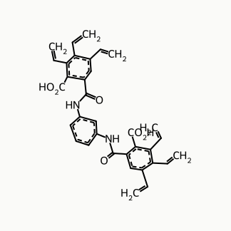 C=Cc1cc(C(=O)Nc2cccc(NC(=O)c3cc(C=C)c(C=C)c(C=C)c3C(=O)O)c2)c(C(=O)O)c(C=C)c1C=C